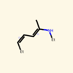 CC/C=C\C=C(/C)NCC